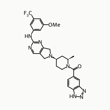 COc1cc(Nc2ncc3c(n2)CN([C@@H]2CCN(C(=O)c4ccc5[nH]nnc5c4)[C@H](C)C2)C3)cc(C(F)(F)F)c1